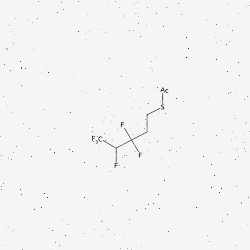 CC(=O)SCCC(F)(F)C(F)C(F)(F)F